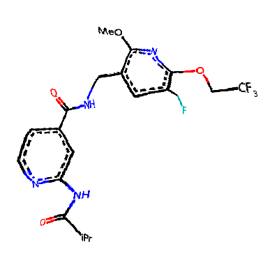 COc1nc(OCC(F)(F)F)c(F)cc1CNC(=O)c1ccnc(NC(=O)C(C)C)c1